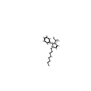 CCCCCCCCN1C=CN(C(C)C)C1c1ccccc1